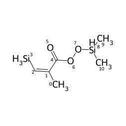 CC(=C[SiH3])C(=O)OO[SiH](C)C